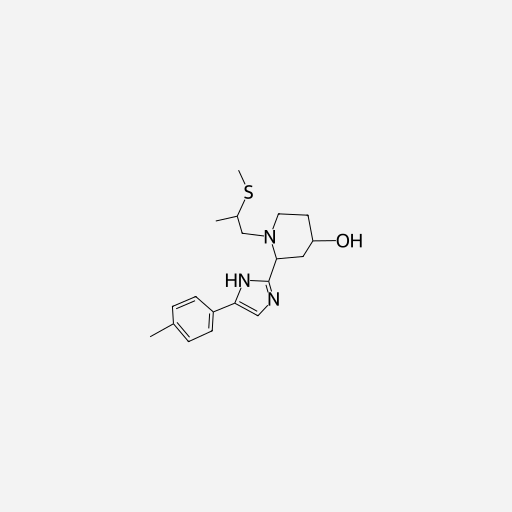 CSC(C)CN1CCC(O)CC1c1ncc(-c2ccc(C)cc2)[nH]1